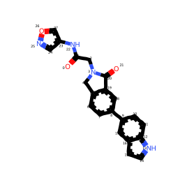 O=C(CN1Cc2ccc(-c3ccc4[nH]ccc4c3)cc2C1=O)Nc1cnoc1